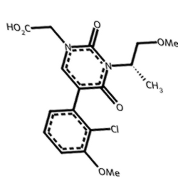 COC[C@H](C)n1c(=O)c(-c2cccc(OC)c2Cl)cn(CC(=O)O)c1=O